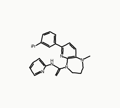 C=C(Nc1ccccn1)N1CCCN(C)c2ccc(-c3cccc(C(C)C)c3)nc21